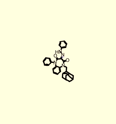 O=c1/c(=N/Nc2ccccc2)c(=O)n(-c2ccccc2)c2ccccc2n1CC1C2CC3CC(C2)CC1C3